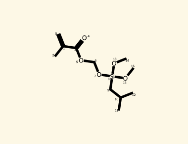 C=C(C)C(=O)OCO[Si](CC(C)C)(OC)OC